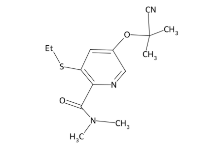 CCSc1cc(OC(C)(C)C#N)cnc1C(=O)N(C)C